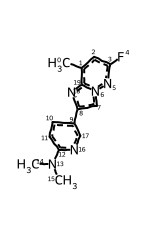 Cc1cc(F)nn2cc(-c3ccc(N(C)C)nc3)nc12